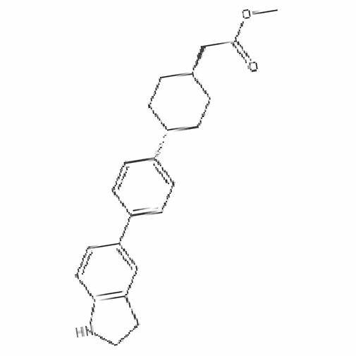 COC(=O)C[C@H]1CC[C@H](c2ccc(-c3ccc4c(c3)CCN4)cc2)CC1